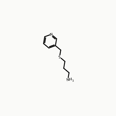 NCCCSCc1cccnc1